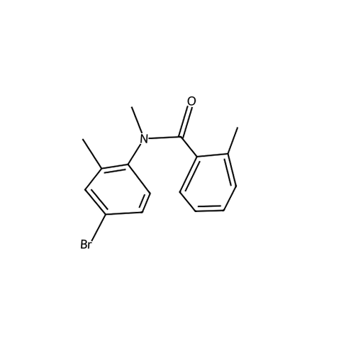 Cc1ccccc1C(=O)N(C)c1ccc(Br)cc1C